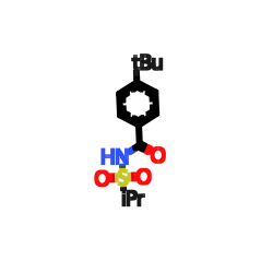 CC(C)S(=O)(=O)NC(=O)c1ccc(C(C)(C)C)cc1